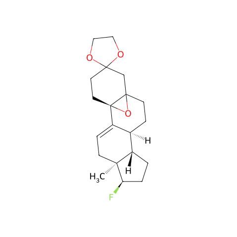 C[C@]12CC=C3[C@@H](CCC45CC6(CC[C@@]34O5)OCCO6)[C@@H]1CC[C@H]2F